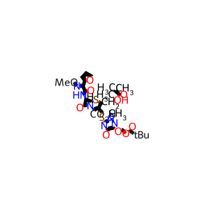 C=C1S[C@@H]2[C@H](NC(=O)C(=NOC)c3ccco3)C(=O)N2C(C(=O)O)=C1CSc1nc(=O)c(OCOC(=O)C(C)(C)C)nn1C.CC(C)(C)C(=O)O